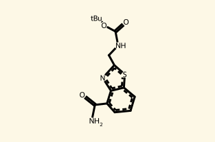 CC(C)(C)OC(=O)NCc1nc2c(C(N)=O)cccc2s1